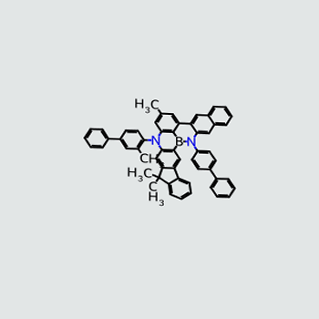 Cc1cc2c3c(c1)N(c1ccc(-c4ccccc4)cc1C)c1cc4c(cc1B3N(c1ccc(-c3ccccc3)cc1)c1cc3ccccc3cc1-2)-c1ccccc1C4(C)C